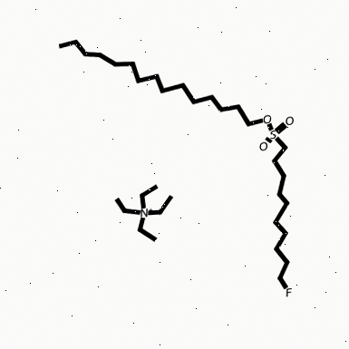 CCCCCCCCCCCCCCCOS(=O)(=O)CCCCCCCCCCF.CC[N+](CC)(CC)CC